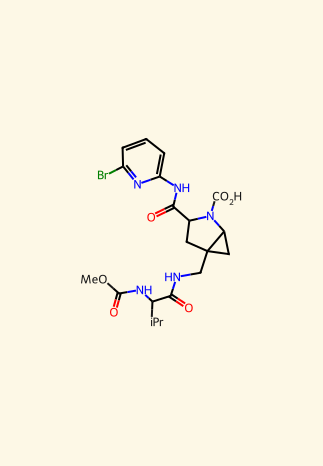 COC(=O)NC(C(=O)NCC12CC(C(=O)Nc3cccc(Br)n3)N(C(=O)O)C1C2)C(C)C